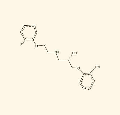 N#Cc1ccccc1OC[C@@H](O)CNCCOc1ccccc1F